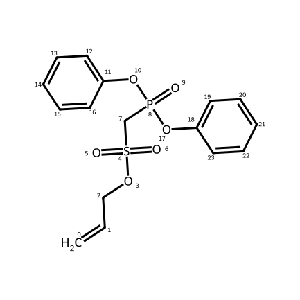 C=CCOS(=O)(=O)CP(=O)(Oc1ccccc1)Oc1ccccc1